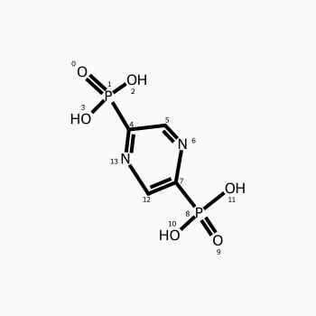 O=P(O)(O)c1cnc(P(=O)(O)O)cn1